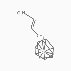 CC=C[N+](=O)[O-].[CH]12[CH]3[CH]4[CH]5[CH]1[Fe]23451678[CH]2[CH]1[CH]6[CH]7[CH]28